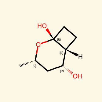 C[C@H]1C[C@@H](O)[C@H]2CC[C@@]2(O)O1